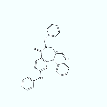 C=C[C@@H]1CN(Cc2ccccc2)C(=O)c2cnc(Nc3ccccc3)nc2N1c1ccccc1